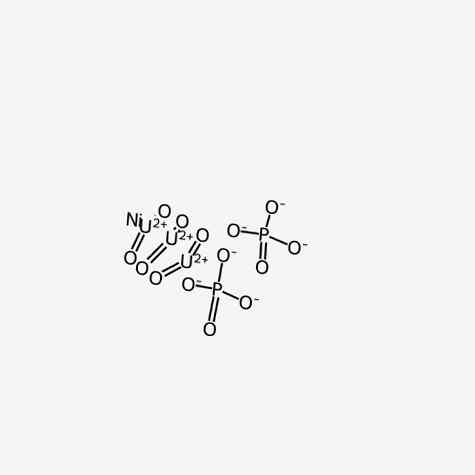 O=P([O-])([O-])[O-].O=P([O-])([O-])[O-].[Ni].[O]=[U+2]=[O].[O]=[U+2]=[O].[O]=[U+2]=[O]